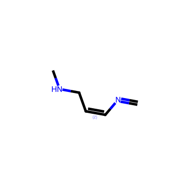 C=N/C=C\CNC